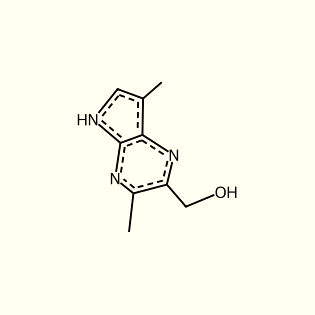 Cc1nc2[nH]cc(C)c2nc1CO